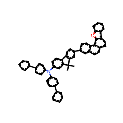 CC1(C)c2cc(-c3ccc4c(ccc5ccc6c7ccccc7oc6c54)c3)ccc2-c2ccc(N(c3ccc(-c4ccccc4)cc3)c3ccc(-c4ccccc4)cc3)cc21